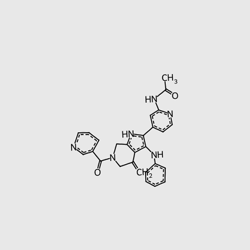 C=C1CN(C(=O)c2cccnc2)Cc2[nH]c(-c3ccnc(NC(C)=O)c3)c(Nc3ccccc3)c21